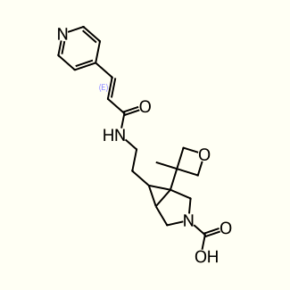 CC1(C23CN(C(=O)O)CC2C3CCNC(=O)/C=C/c2ccncc2)COC1